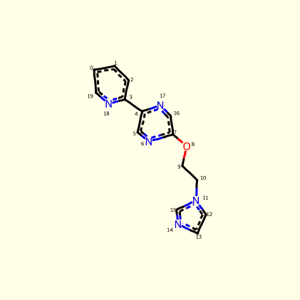 c1ccc(-c2cnc(OCCn3ccnc3)cn2)nc1